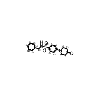 O=C1CCN(c2ccc(S(=O)(=O)NCc3ccccc3)cc2)CC1